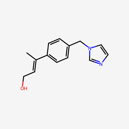 CC(=CCO)c1ccc(Cn2ccnc2)cc1